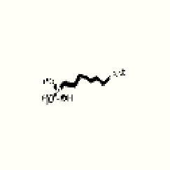 CCCCCCCCCCC[PH](O)(O)O